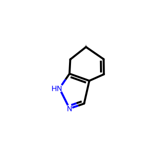 [CH]1C=Cc2cn[nH]c2C1